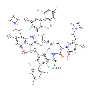 CCOC(=O)C[C@H](NC(=O)C(CC(C)C)n1cc(CCN2CCC2)c(C(F)(F)F)cc1=O)c1c(F)c(-c2c(C)cc(C)cc2F)cc(C(F)(F)F)c1F.Cc1cc(C)c(-c2cc(C(F)(F)F)c(F)c([C@H](CC(=O)O)NC(=O)C(CC(C)C)n3cc(CCN4CCC4)c(C(F)(F)F)cc3=O)c2F)c(F)c1